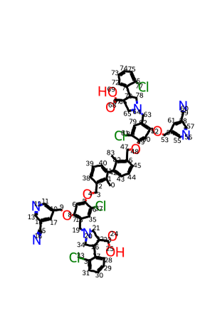 Cc1c(COc2cc(OCc3cncc(C#N)c3)c(CN3CC(C(=O)O)C(c4ccccc4Cl)C3)cc2Cl)cccc1-c1cccc(COc2cc(OCc3cncc(C#N)c3)c(CN3CC(C(=O)O)C(c4ccccc4Cl)C3)cc2Cl)c1C